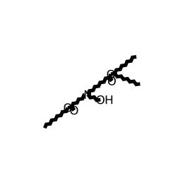 CCCCCCCCCOC(=O)CCCCCN(CCCO)CCCCCCCC(=O)OC(CCCCCCCC)CCCCCCCC